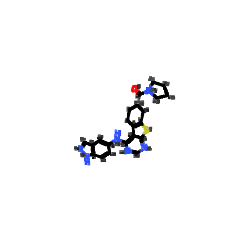 O=C([C@H]1CCc2c(sc3ncnc(Nc4ccc5[nH]ncc5c4)c23)C1)N1CCCC1